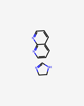 C1=NCCN1.c1cnc2ncccc2c1